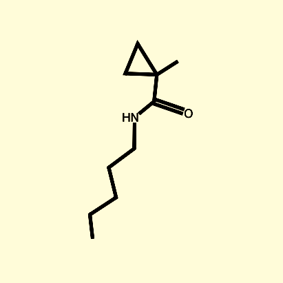 CCCCCNC(=O)C1(C)CC1